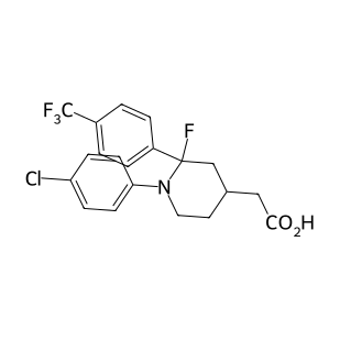 O=C(O)CC1CCN(c2ccc(Cl)cc2)C(F)(c2ccc(C(F)(F)F)cc2)C1